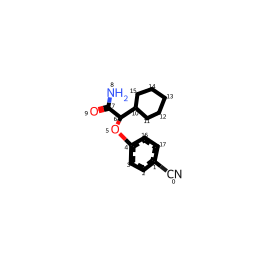 N#Cc1ccc(OC(C(N)=O)C2CCCCC2)cc1